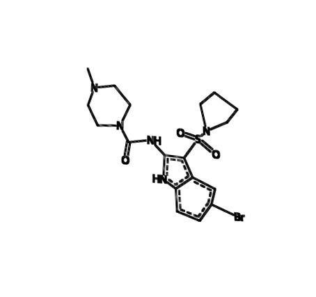 CN1CCN(C(=O)Nc2[nH]c3ccc(Br)cc3c2S(=O)(=O)N2CCCC2)CC1